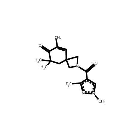 CC1=CC2(CN(C(=O)c3cn(C)nc3C(F)(F)F)C2)CC(C)(C)C1=O